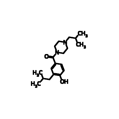 CC(C)Cc1cc(C(=O)N2CCN(CC(C)C)CC2)ccc1O